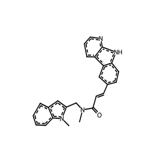 CN(Cc1cc2ccccc2n1C)C(=O)C=Cc1ccc2[nH]c3ncccc3c2c1